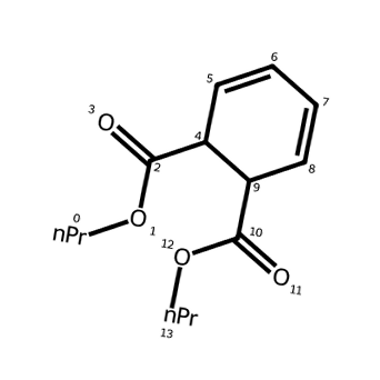 CCCOC(=O)C1C=CC=CC1C(=O)OCCC